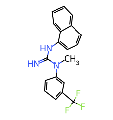 CN(C(=N)Nc1cccc2ccccc12)c1cccc(C(F)(F)F)c1